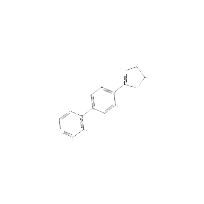 c1cc(-c2ccc(C3=NCCO3)cc2)ccn1